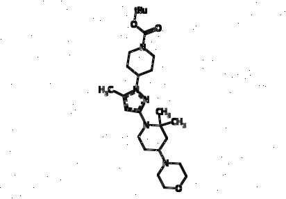 Cc1cc(N2CCC(N3CCOCC3)CC2(C)C)nn1C1CCN(C(=O)OC(C)(C)C)CC1